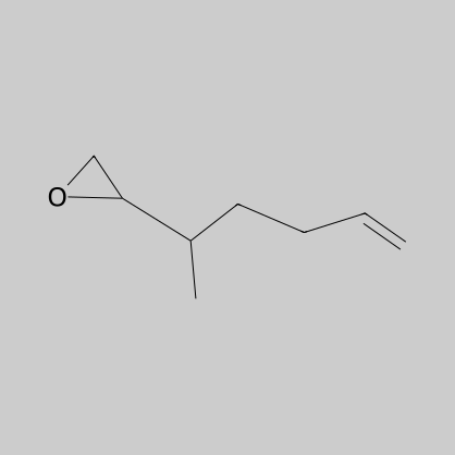 C=CCCC(C)C1CO1